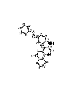 COCc1c(-c2cccnc2)ncc2[nH]c3ccc(OCc4ccccc4)cc3c12